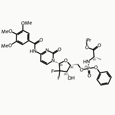 COc1cc(C(=O)Nc2ccn([C@@H]3O[C@H](CO[P@@](=O)(N[C@@H](C)C(=O)OC(C)C)Oc4ccccc4)[C@H](O)C3(F)F)c(=O)n2)cc(OC)c1OC